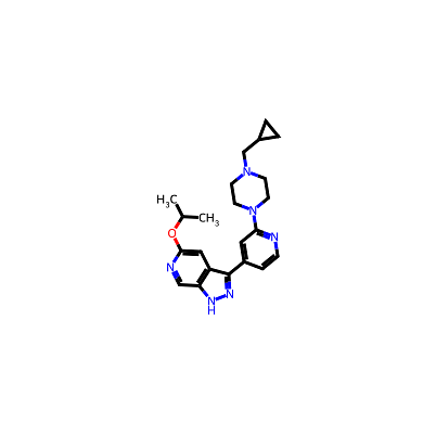 CC(C)Oc1cc2c(-c3ccnc(N4CCN(CC5CC5)CC4)c3)n[nH]c2cn1